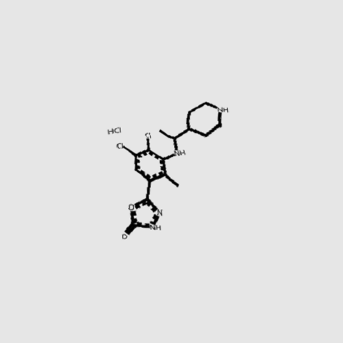 Cc1c(-c2n[nH]c(=O)o2)cc(Cl)c(Cl)c1NC(C)C1CCNCC1.Cl